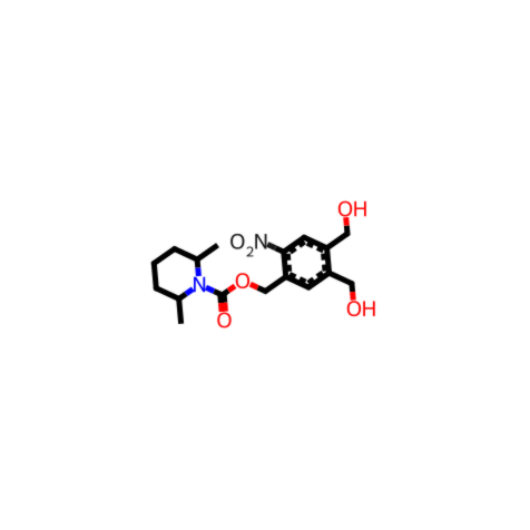 CC1CCCC(C)N1C(=O)OCc1cc(CO)c(CO)cc1[N+](=O)[O-]